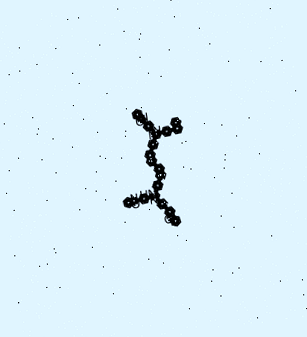 C1=C(c2ccc(-c3ccc4c(c3)oc3ccccc34)cc2)N=C(c2ccc(-c3nc4ccccc4o3)cc2)NC1c1ccc(-c2ccc3ccc(-c4ccc5ccc(-c6ccc(-c7cc(-c8ccc(-c9cccc%10ccccc9%10)cc8)nc(-c8ccc(-c9nc%10ccccc%10o9)cc8)n7)cc6)cc5c4)cc3c2)cc1